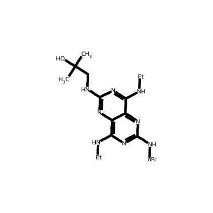 CCCNc1nc(NCC)c2nc(NCC(C)(C)O)nc(NCC)c2n1